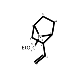 C=CC1CC2CCC1N2C(=O)OCC